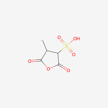 [CH2]C1C(=O)OC(=O)C1S(=O)(=O)O